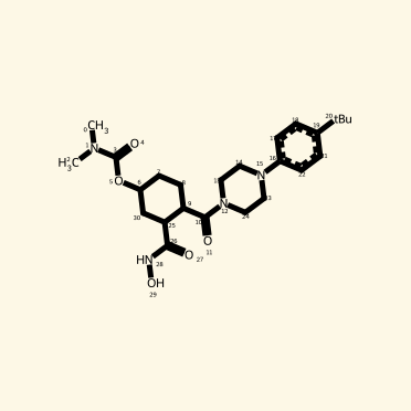 CN(C)C(=O)OC1CCC(C(=O)N2CCN(c3ccc(C(C)(C)C)cc3)CC2)C(C(=O)NO)C1